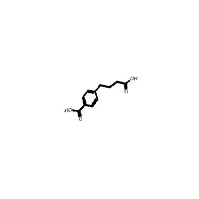 O=C(O)CCCc1ccc(C(=O)O)cc1